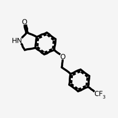 O=C1NCc2cc(OCc3ccc(C(F)(F)F)cc3)ccc21